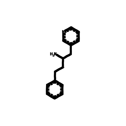 NC([CH]Cc1ccccc1)Cc1cccnc1